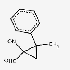 CC1(c2ccccc2)CC1(C=O)N=O